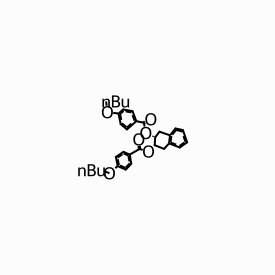 CCCCOc1ccc(C(=O)O[C@H]2Cc3ccccc3C[C@H]2OC(=O)c2ccc(OCCCC)cc2)cc1